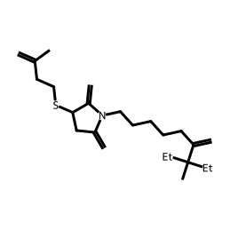 C=C(C)CCSC1CC(=C)N(CCCCCC(=C)C(C)(CC)CC)C1=C